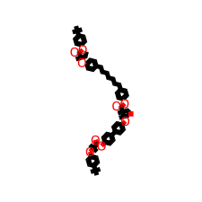 CCC(C)(Oc1ccc(CCCCCCCc2ccc(OC(=O)C(C)(CC)C(C)(C)Oc3ccc(-c4ccc(OC(=O)C(C)(C)Oc5ccc(C(C)(C)C)cc5)cc4)cc3)cc2)cc1)C(=O)Oc1ccc(C(C)(C)C)cc1